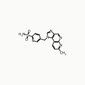 Cc1ccc2c(ncc3ncn(Cc4ccc(S(N)(=O)=O)nc4)c32)n1